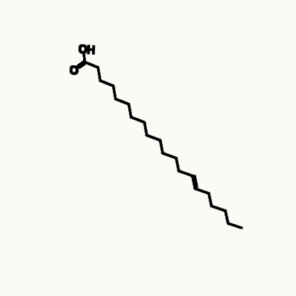 CCCCCC=CCCCCCCCCCCCCC(=O)O